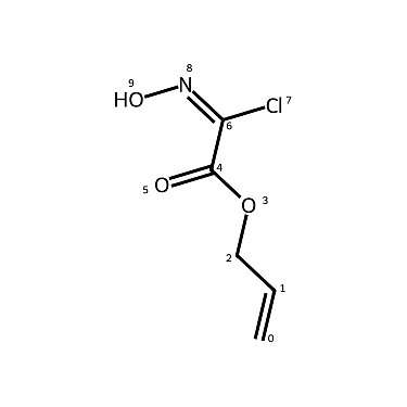 C=CCOC(=O)/C(Cl)=N\O